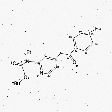 CCN(C(=O)OC(C)(C)C)c1cc(CC(=O)c2ccc(F)cc2)ccn1